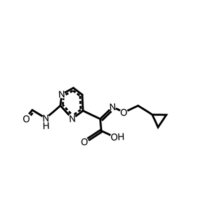 O=CNc1nccc(/C(=N/OCC2CC2)C(=O)O)n1